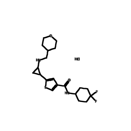 Cl.O=C(NC1CCC(F)(F)CC1)c1csc(C2CC2NCC2CCOCC2)c1